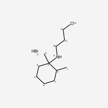 Br.CC1CCCCC1(C)NCCCCl